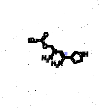 CC(C)(C)C(=O)OCN(N)/C=C(\N)C1CCNC1